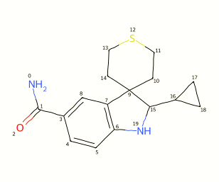 NC(=O)c1ccc2c(c1)C1(CCSCC1)C(C1CC1)N2